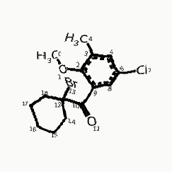 COc1c(C)cc(Cl)cc1C(=O)C1(Br)CCCCC1